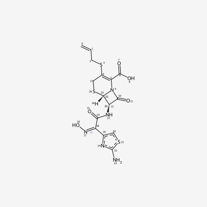 C=CCSC1=C(C(=O)O)N2C(=O)[C@@H](NC(=O)/C(=N\O)c3csc(N)n3)[C@@H]2SC1